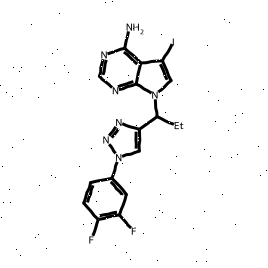 CCC(c1cn(-c2ccc(F)c(F)c2)nn1)n1cc(I)c2c(N)ncnc21